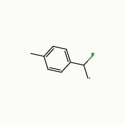 [CH2]C(F)c1ccc(C)cc1